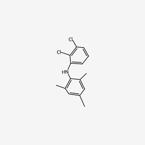 Cc1cc(C)c(Nc2cccc(Cl)c2Cl)c(C)c1